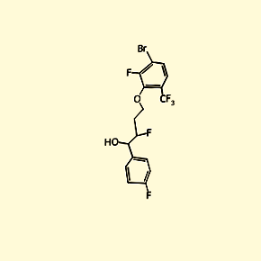 OC(c1ccc(F)cc1)C(F)CCOc1c(C(F)(F)F)ccc(Br)c1F